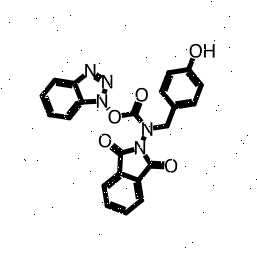 O=C(On1nnc2ccccc21)N(Cc1ccc(O)cc1)N1C(=O)c2ccccc2C1=O